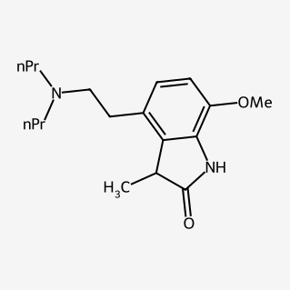 CCCN(CCC)CCc1ccc(OC)c2c1C(C)C(=O)N2